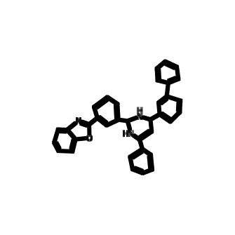 C1=C(c2ccccc2)NC(c2cccc(-c3nc4ccccc4o3)c2)NC1c1cccc(-c2ccccc2)c1